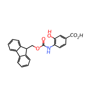 O=C(Nc1ccc(C(=O)O)cc1O)OCC1c2ccccc2-c2ccccc21